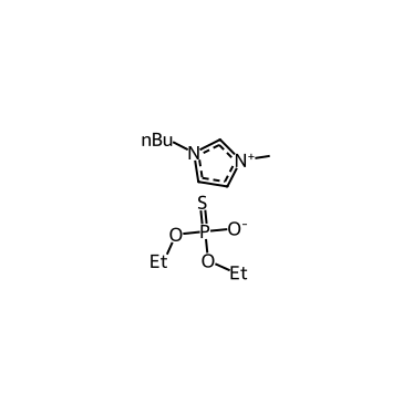 CCCCn1cc[n+](C)c1.CCOP([O-])(=S)OCC